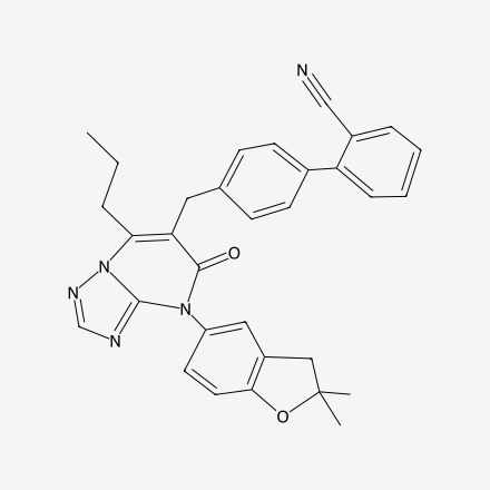 CCCc1c(Cc2ccc(-c3ccccc3C#N)cc2)c(=O)n(-c2ccc3c(c2)CC(C)(C)O3)c2ncnn12